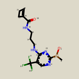 C[S+]([O-])c1ncc(C(F)(F)F)c(NCCCNC(=O)C2=CCC2)n1